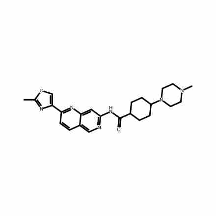 Cc1nc(-c2ccc3cnc(NC(=O)C4CCC(N5CCN(C)CC5)CC4)cc3n2)co1